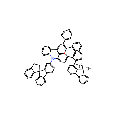 CC1(C)c2ccccc2-c2cccc(-c3ccccc3-c3ccc(N(c4ccc5c(c4)C4(CCc6ccccc64)c4ccccc4-5)c4ccccc4-c4ccc(-c5ccccc5)c(-c5ccccc5)c4)cc3)c21